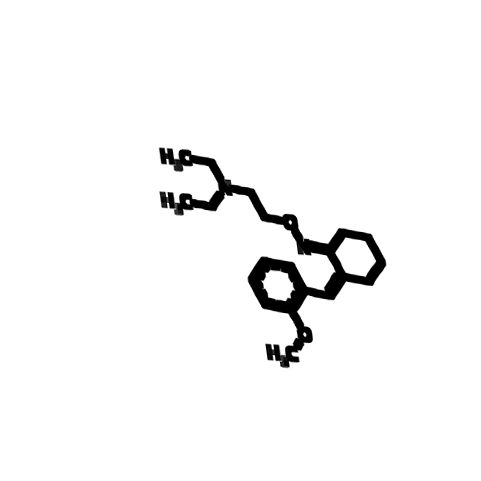 CCN(CC)CCON=C1CCCCC1=Cc1ccccc1OC